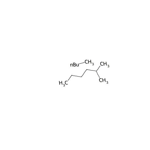 CCCCC.CCCCC(C)C